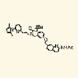 CC(=O)Nc1ccc2ccc(COc3cccc(CN(CCCc4cccc(-n5c(C)ccc5C)n4)C(=O)OC(C)(C)C)c3)cc2n1